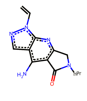 C=Cn1ncc2c(N)c3c(nc21)CN(CCC)C3=O